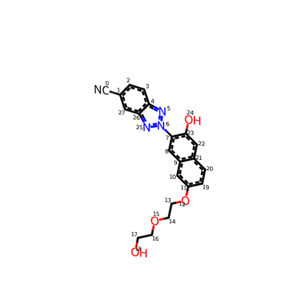 N#Cc1ccc2nn(-c3cc4cc(OCCOCCO)ccc4cc3O)nc2c1